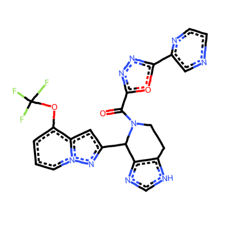 O=C(c1nnc(-c2cnccn2)o1)N1CCc2[nH]cnc2C1c1cc2c(OC(F)(F)F)cccn2n1